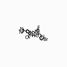 CC(=O)c1nn(CC(=O)N2C[C@H](F)C[C@H]2C(O)Cc2cccc(Br)n2)c2ccc(-c3cnc(C)nc3)cc12